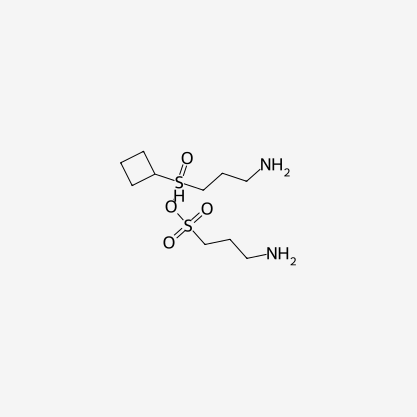 NCCCS(=O)(=O)O[SH](=O)(CCCN)C1CCC1